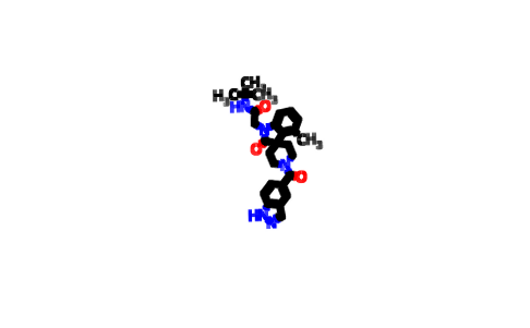 Cc1cccc2c1C1(CCN(C(=O)c3ccc4[nH]ncc4c3)CC1)C(=O)N2CC(=O)NC(C)(C)C